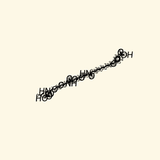 CCC[C@H](NC(=O)COCCOCCNC(=O)COCCOCCNC(=O)CCCCCCCCCOc1ccc(C(=O)O)cc1)C(=O)O